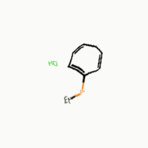 CC[P]c1ccccc1.Cl